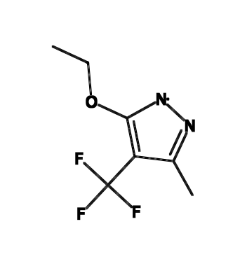 CCOC1=C(C(F)(F)F)C(C)=N[N]1